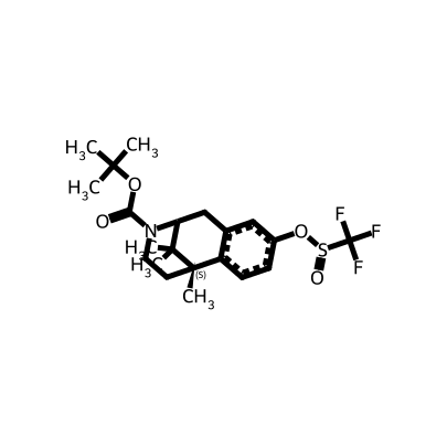 CC(C)(C)OC(=O)N1CC[C@@]2(C)c3ccc(OS(=O)C(F)(F)F)cc3CC1C2(C)C